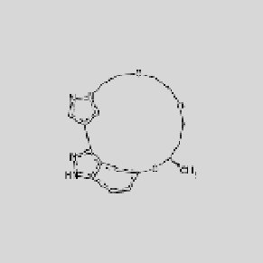 C[C@@H]1CCOCCOCCn2cc(cn2)-c2n[nH]c3ccc(cc23)O1